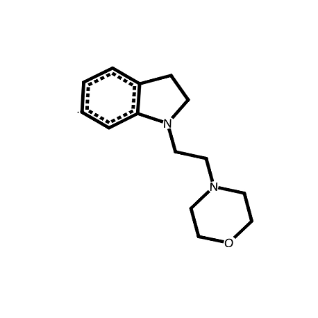 [c]1ccc2c(c1)N(CCN1CCOCC1)CC2